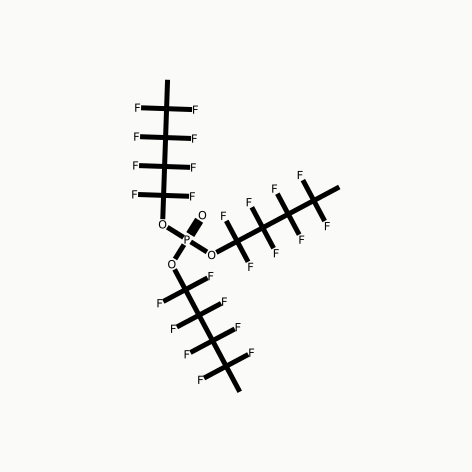 CC(F)(F)C(F)(F)C(F)(F)C(F)(F)OP(=O)(OC(F)(F)C(F)(F)C(F)(F)C(C)(F)F)OC(F)(F)C(F)(F)C(F)(F)C(C)(F)F